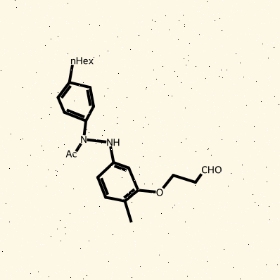 CCCCCCc1ccc(N(Nc2ccc(C)c(OCCC=O)c2)C(C)=O)cc1